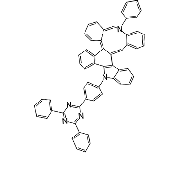 c1ccc(-c2nc(-c3ccccc3)nc(-c3ccc(-n4c5ccccc5c5c6cc7ccccc7n(-c7ccccc7)cc7ccccc7c6c6ccccc6c54)cc3)n2)cc1